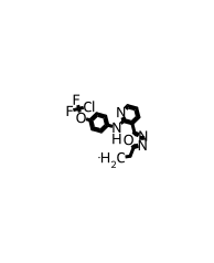 [CH2]Cc1nnc(-c2cccnc2Nc2ccc(OC(F)(F)Cl)cc2)o1